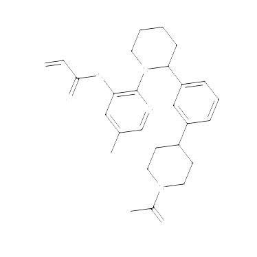 CC(=O)N1CCC(c2cccc(C3CCCCN3c3ncc(C)cc3NC(=O)C=O)c2)CC1